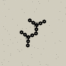 c1ccc(-c2ccc(-c3cc(-c4ccc(-c5cccc(-c6ccc(-c7cc(-c8ccc(-c9ccccc9)cc8)nc(-c8ccc(-c9ccccc9)cc8)n7)cc6)c5)cc4)cc(-c4ccc(-c5ccccc5)cc4)n3)cc2)cc1